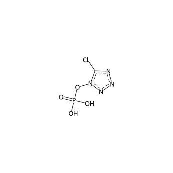 O=P(O)(O)On1nnnc1Cl